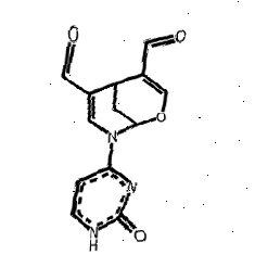 O=CC1=COC2CC1C(C=O)=CN2c1cc[nH]c(=O)n1